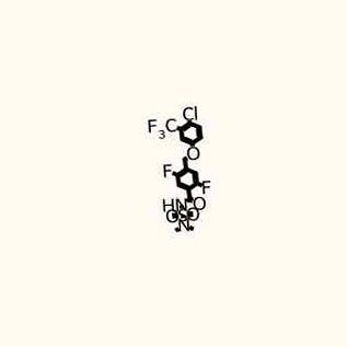 CN(C)S(=O)(=O)NC(=O)c1cc(F)c(COc2ccc(Cl)c(C(F)(F)F)c2)cc1F